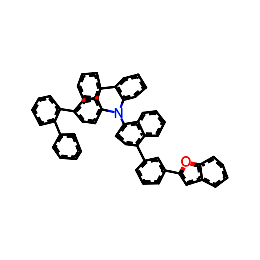 c1ccc(-c2ccccc2-c2ccc(N(c3ccccc3-c3ccccc3)c3ccc(-c4cccc(-c5cc6ccccc6o5)c4)c4ccccc34)cc2)cc1